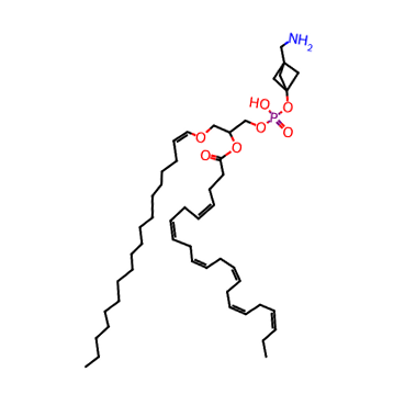 CC/C=C\C/C=C\C/C=C\C/C=C\C/C=C\C/C=C\CCC(=O)OC(CO/C=C\CCCCCCCCCCCCCCCC)COP(=O)(O)OC12CC(CN)(C1)C2